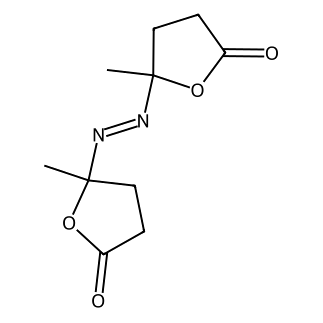 CC1(N=NC2(C)CCC(=O)O2)CCC(=O)O1